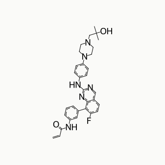 C=CC(=O)Nc1cccc(-c2c(F)ccc3cnc(Nc4ccc(N5CCN(CC(C)(C)O)CC5)cc4)nc23)c1